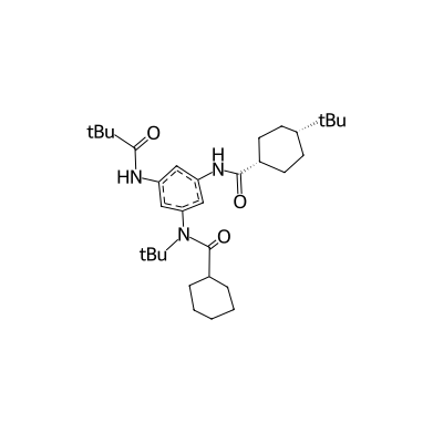 CC(C)(C)C(=O)Nc1cc(NC(=O)[C@H]2CC[C@@H](C(C)(C)C)CC2)cc(N(C(=O)C2CCCCC2)C(C)(C)C)c1